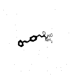 NN(N=O)C(=O)CCc1ccc(CCc2ccccc2)cc1